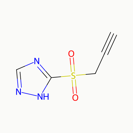 C#CCS(=O)(=O)c1ncn[nH]1